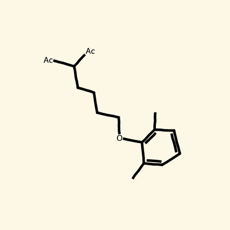 CC(=O)C(CCCCOc1c(C)cccc1C)C(C)=O